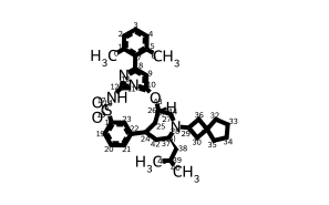 Cc1cccc(C)c1-c1cc2nc(n1)NS(=O)(=O)c1cccc(c1)C1C[C@@H](CN(C3CC4(CCCC4)C3)[C@@H](CC(C)C)C1)O2